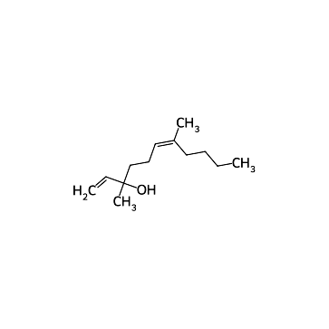 C=CC(C)(O)CCC=C(C)CCCC